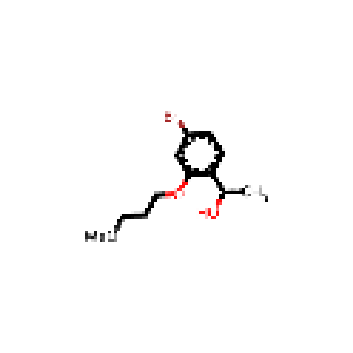 COCCCOc1cc(Br)ccc1C(C)O